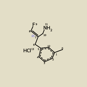 Cc1cccc(C/C(=C/F)CN)c1.Cl